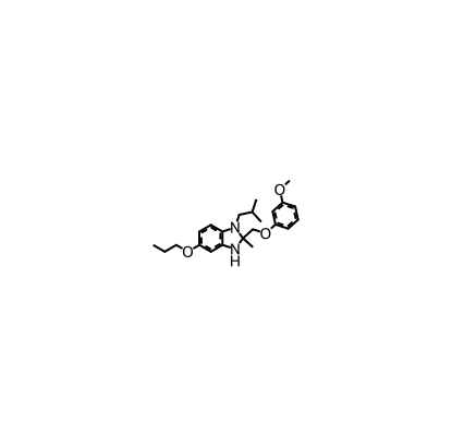 CCCOc1ccc2c(c1)NC(C)(COc1cccc(OC)c1)N2CC(C)C